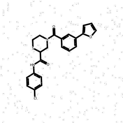 O=C(Nc1ccc(Cl)cc1)C1CN(C(=O)c2cccc(-c3ccco3)c2)CCS1